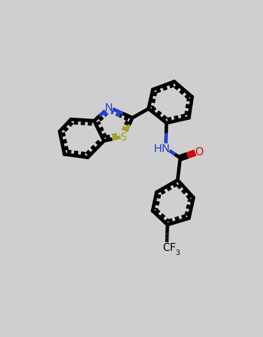 O=C(Nc1ccccc1-c1nc2ccccc2s1)c1ccc(C(F)(F)F)cc1